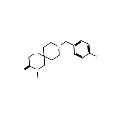 C[C@@H]1OC2(CCN(Cc3ccc(F)cc3)CC2)CN(C)C1=O